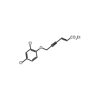 CCOC(=O)C=CC#CCOc1ccc(Cl)cc1Cl